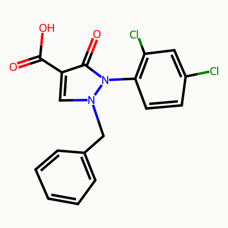 O=C(O)c1cn(Cc2ccccc2)n(-c2ccc(Cl)cc2Cl)c1=O